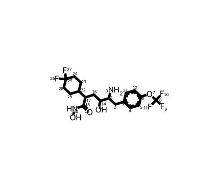 NC(Cc1ccc(OC(F)(F)F)cc1)C(O)CC(C(=O)NO)C1CCC(F)(F)CC1